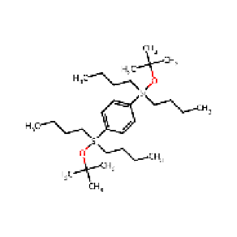 CCCC[Si](CCCC)(OC(C)(C)C)c1ccc([Si](CCCC)(CCCC)OC(C)(C)C)cc1